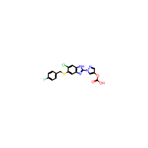 O=C(O)Oc1cnn(-c2nc3cc(SCc4ccc(F)cc4)c(Cl)cc3[nH]2)c1